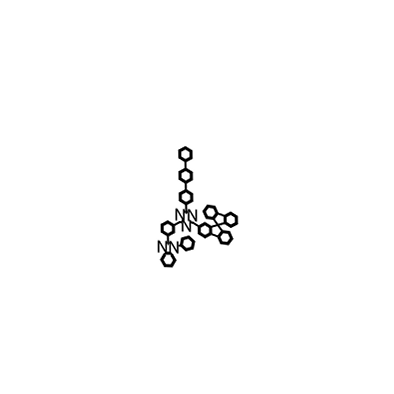 c1ccc(-c2ccc(-c3ccc(-c4nc(-c5cccc(-c6nc7ccccc7n6-c6ccccc6)c5)nc(-c5ccc6c(c5)C5(c7ccccc7-c7ccccc75)c5ccccc5-6)n4)cc3)cc2)cc1